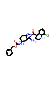 Nc1c2c(nn1C(=O)C1CCNc3c(Cl)cccc31)CC[C@H](NC(=O)OCc1ccccc1)C2